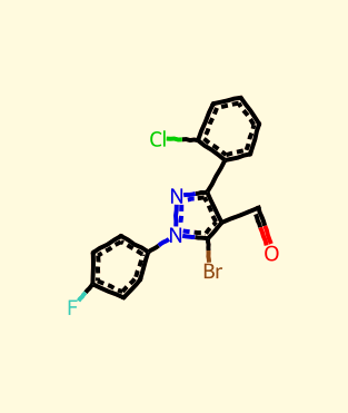 O=Cc1c(-c2ccccc2Cl)nn(-c2ccc(F)cc2)c1Br